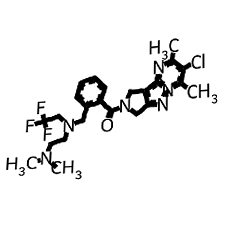 Cc1nc2c3c(nn2c(C)c1Cl)CN(C(=O)c1ccccc1CN(CCN(C)C)CC(F)(F)F)C3